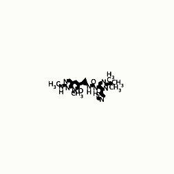 CNc1ncc2cc(C3CC3NC(=O)Nc3cnc(C(C)(C)C)nc3-c3cncs3)c(=O)n(C)c2n1